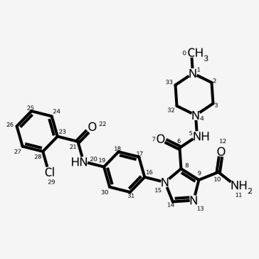 CN1CCN(NC(=O)c2c(C(N)=O)ncn2-c2ccc(NC(=O)c3ccccc3Cl)cc2)CC1